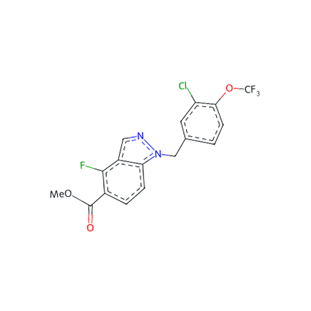 COC(=O)c1ccc2c(cnn2Cc2ccc(OC(F)(F)F)c(Cl)c2)c1F